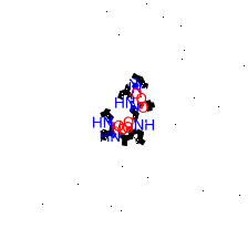 CCC(Cn1nc(C)cc1C)C(=O)NN(CCC(=O)NC(CC(C)C)C(O)CC(C)C(=O)NC(C(=O)NCC(C)C)C(C)C)C(=O)OC(C)(C)C